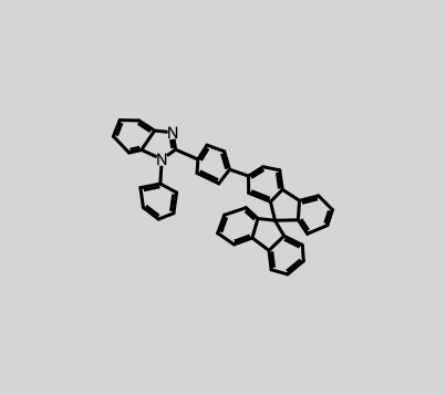 c1ccc(-n2c(-c3ccc(-c4ccc5c(c4)C4(c6ccccc6-c6ccccc64)c4ccccc4-5)cc3)nc3ccccc32)cc1